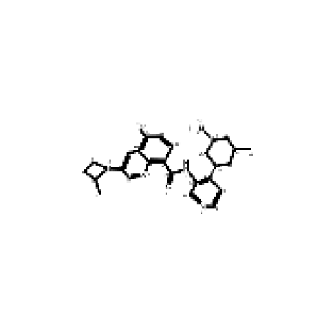 CC1CCN1c1cnc2c(C(=O)Nc3cnccc3[C@@H]3C[C@H](C)C[C@H](N)C3)ccc(F)c2c1